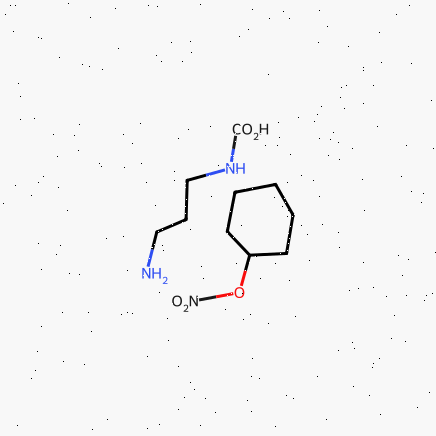 NCCCNC(=O)O.O=[N+]([O-])OC1CCCCC1